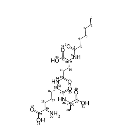 CCCCCCC(=O)N[C@H](CCC(=O)N[C@@H](CCCC(N)C(=O)O)C(=O)N[C@H](C)C(=O)O)C(=O)O